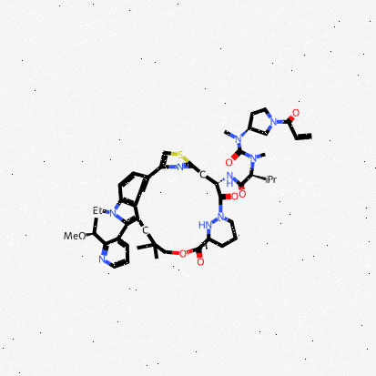 C=CC(=O)N1CC[C@H](N(C)C(=O)N(C)[C@H](C(=O)N[C@H]2Cc3nc(cs3)-c3ccc4c(c3)c(c(-c3cccnc3[C@H](C)OC)n4CC)CC(C)(C)COC(=O)[C@@H]3CCCN(N3)C2=O)C(C)C)C1